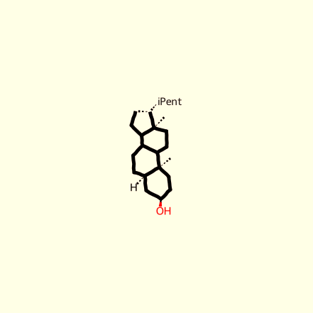 CCC[C@@H](C)[C@H]1CCC2C3CC[C@@H]4C[C@H](O)CC[C@]4(C)C3CC[C@@]21C